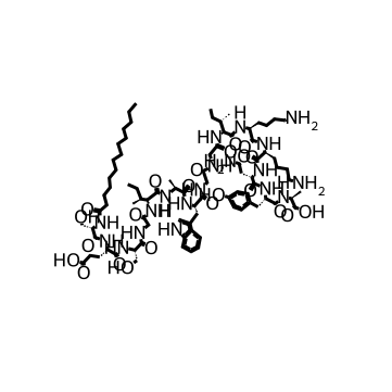 CCCCCCCCCCCCCC(=O)N[C@@H](CO)C(=O)N[C@@H](CCC(=O)O)C(=O)N[C@@H](CO)C(=O)NCC(=O)N[C@H](C(=O)N[C@@H](C)C(=O)N[C@@H](Cc1c[nH]c2ccccc12)C(=O)NCC(=O)NCC(=O)N[C@H](C(=O)N[C@@H](CCCCN)C(=O)N[C@@H](CCCCN)C(=O)N[C@@H](CC(N)=O)C(=O)N[C@@H](Cc1ccc(O)cc1)C(=O)N[C@@H](C)C(=O)O)[C@@H](C)CC)[C@@H](C)CC